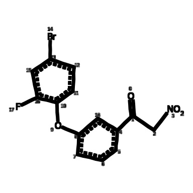 O=C(C[N+](=O)[O-])c1cccc(Oc2ccc(Br)cc2F)c1